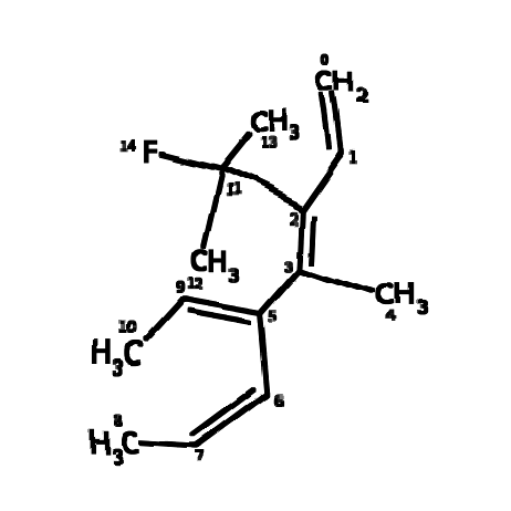 C=C/C(=C(C)/C(/C=C\C)=C/C)C(C)(C)F